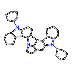 c1ccc(-n2c3ccccc3c3c4c5ccc6c(c7ccccc7n6-c6ccccc6)c5n5ccc(cc32)c45)cc1